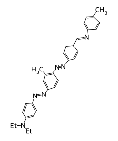 CCN(CC)c1ccc(N=Nc2ccc(N=Nc3ccc(C=Nc4ccc(C)cc4)cc3)c(C)c2)cc1